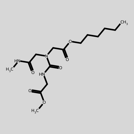 CCCCCCOC(=O)CN(CC(=O)NC)C(=O)NCC(=O)OC